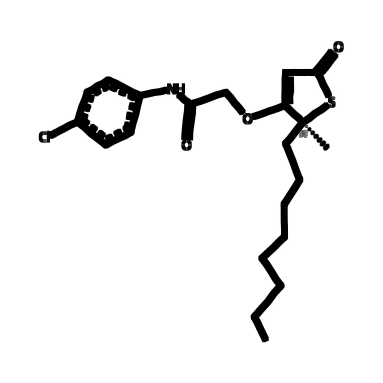 CCCCCCCC[C@]1(C)SC(=O)C=C1OCC(=O)Nc1ccc(Cl)cc1